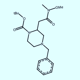 CON(C)C(=O)CC1CN(Cc2ccccc2)CCN1C(=O)OC(C)(C)C